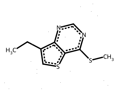 CCc1csc2c(SC)ncnc12